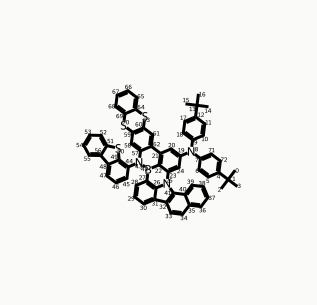 CC(C)(C)c1ccc(N(c2ccc(C(C)(C)C)cc2)c2cc3c4c(c2)-n2c5c(cccc5c5ccc6ccccc6c52)B4N(c2cccc4c2sc2ccccc24)c2cc4c(cc2-3)Sc2ccccc2S4)cc1